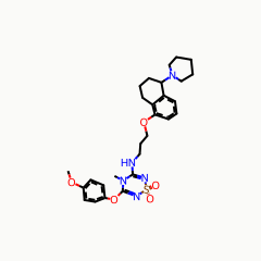 COc1ccc(OC2=NS(=O)(=O)N=C(NCCCOc3cccc4c3CCCC4N3CCCCC3)N2C)cc1